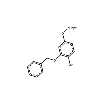 CCCCCCCOc1ccc(C(C)=O)c(OCc2ccccc2)c1